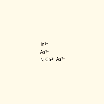 [As-3].[As-3].[Ga+3].[In+3].[N]